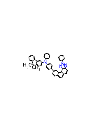 CC1(C)c2ccccc2-c2cc(N(c3ccccc3)c3ccc(-c4ccc5ccc6ccc7nn(-c8ccccc8)nc7c6c5c4)cc3)ccc21